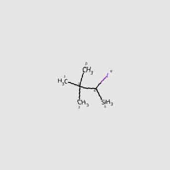 CC(C)(C)C([SiH3])I